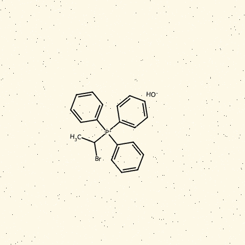 CC(Br)[P+](c1ccccc1)(c1ccccc1)c1ccccc1.[OH-]